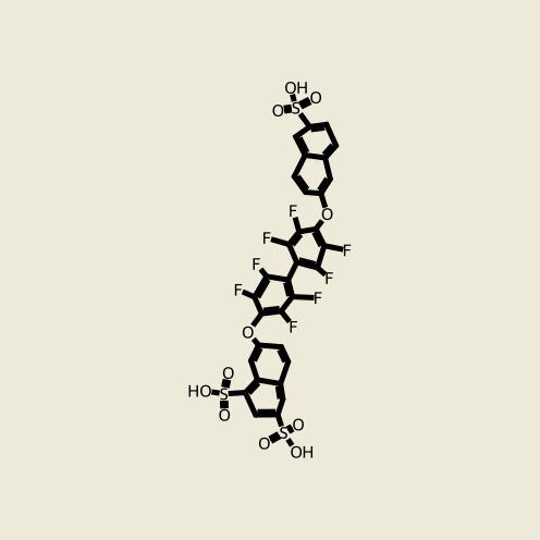 O=S(=O)(O)c1ccc2cc(Oc3c(F)c(F)c(-c4c(F)c(F)c(Oc5ccc6cc(S(=O)(=O)O)cc(S(=O)(=O)O)c6c5)c(F)c4F)c(F)c3F)ccc2c1